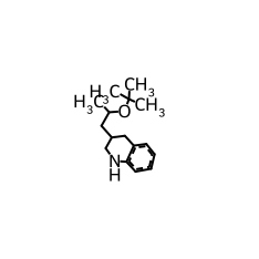 CC(CC1CNc2ccccc2C1)OC(C)(C)C